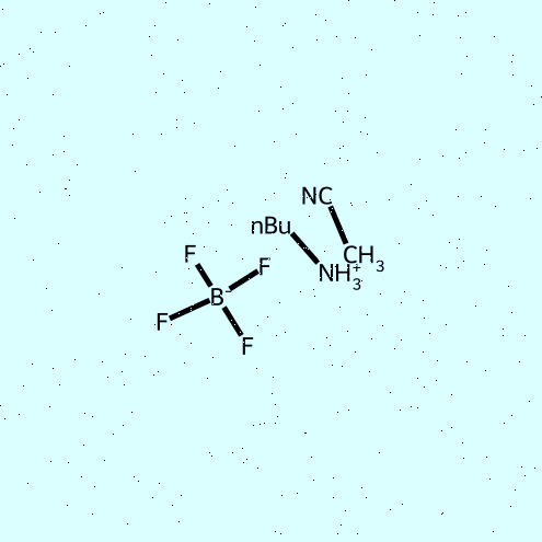 CC#N.CCCC[NH3+].F[B-](F)(F)F